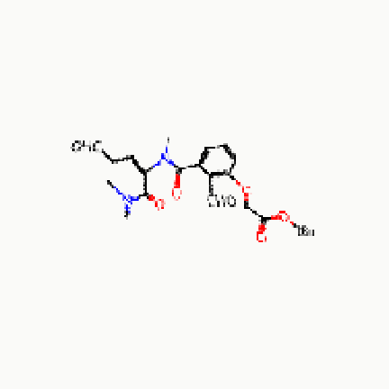 CN(C)C(=O)C(CCC=O)N(C)C(=O)c1cccc(OCC(=O)OC(C)(C)C)c1C=O